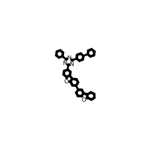 c1ccc(-c2ccc(-c3nc(-c4ccccc4)nc(-c4ccc5oc6cc(-c7ccc8oc9ccccc9c8c7)ccc6c5c4)n3)cc2)cc1